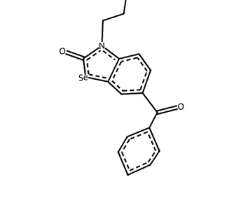 O=C(c1ccccc1)c1ccc2c(c1)[se]c(=O)n2CCCl